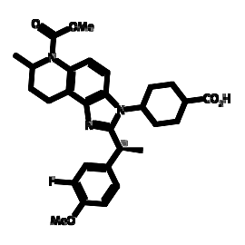 COC(=O)N1c2ccc3c(nc([C@@H](C)c4ccc(OC)c(F)c4)n3C3CCC(C(=O)O)CC3)c2CCC1C